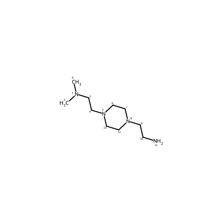 CN(C)CCN1CCN(CCN)CC1